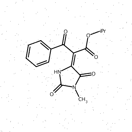 CC(C)OC(=O)C(C(=O)c1ccccc1)=C1NC(=O)N(C)C1=O